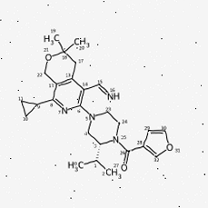 CC(C)[C@@H]1CN(c2nc(C3CC3)c3c(c2C=N)CC(C)(C)OC3)CCN1C(=O)c1ccoc1